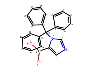 OB(O)c1cncn1C(c1ccccc1)(c1ccccc1)c1ccccc1